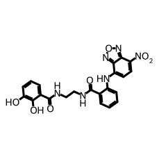 O=C(NCCNC(=O)c1cccc(O)c1O)c1ccccc1Nc1ccc([N+](=O)[O-])c2nonc12